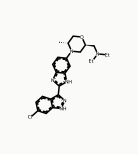 CCN(CC)C[C@H]1CN(c2ccc3nc(-c4n[nH]c5cc(Cl)ccc45)[nH]c3c2)[C@H](C)CO1